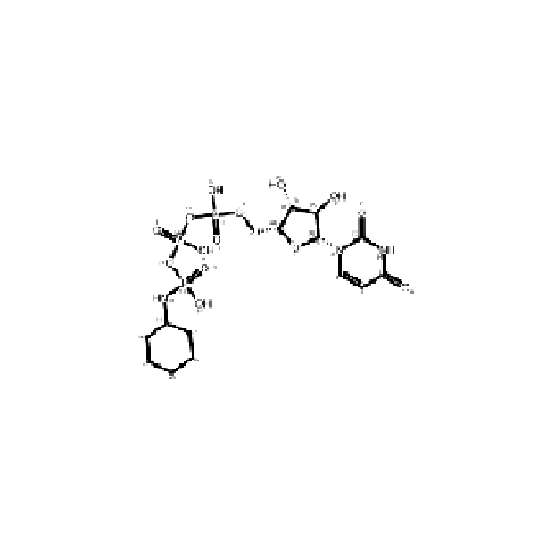 O=c1ccn([C@@H]2O[C@H](COP(=O)(O)OP(=O)(O)OP(=O)(O)NC3CCCCC3)[C@H](O)C2O)c(=O)[nH]1